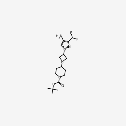 CC(C)(C)OC(=O)N1CCC(N2CC(n3cc(N)c(C(F)F)n3)C2)CC1